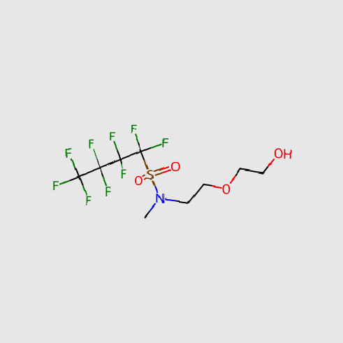 CN(CCOCCO)S(=O)(=O)C(F)(F)C(F)(F)C(F)(F)C(F)(F)F